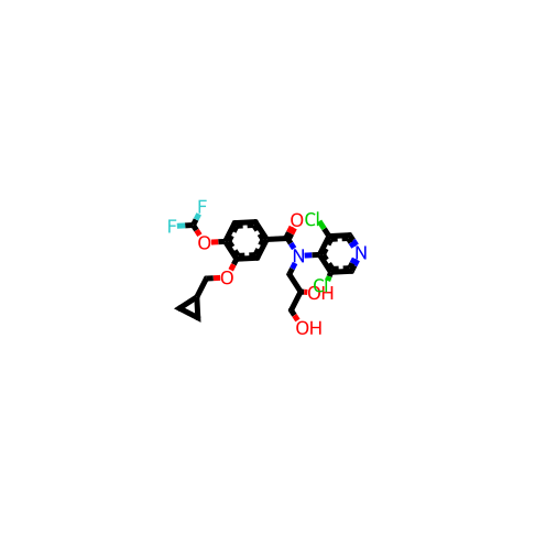 O=C(c1ccc(OC(F)F)c(OCC2CC2)c1)N(CC(O)CO)c1c(Cl)cncc1Cl